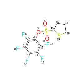 O=S(=O)(Oc1c(F)c(F)c(F)c(F)c1F)C1CCCS1